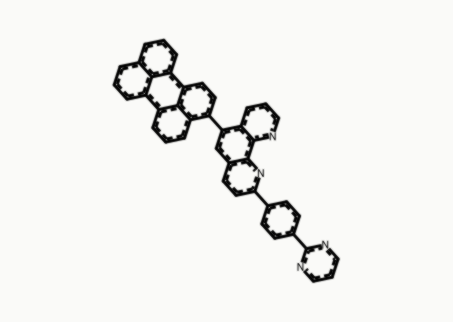 c1cnc(-c2ccc(-c3ccc4cc(-c5ccc6c7cccc8cccc(c9cccc5c96)c87)c5cccnc5c4n3)cc2)nc1